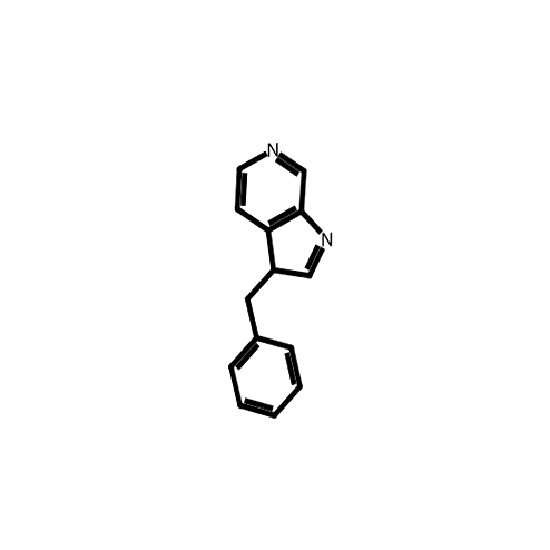 C1=Nc2cnccc2C1Cc1ccccc1